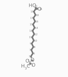 CS(=O)(=O)OCCCCCCCCCCCCCCCC(=O)O